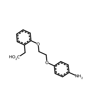 Nc1ccc(OCCOc2ccccc2CC(=O)O)cc1